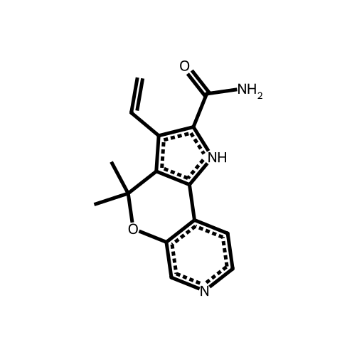 C=Cc1c(C(N)=O)[nH]c2c1C(C)(C)Oc1cnccc1-2